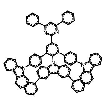 c1ccc(-c2ccc3c(c2)c2cc(-c4ccccc4)ccc2n3-c2c(-c3ccc(-n4c5ccccc5c5ccccc54)cc3)cc(-c3nc(-c4ccccc4)cc(-c4ccccc4)n3)cc2-c2ccc(-n3c4ccccc4c4ccccc43)cc2)cc1